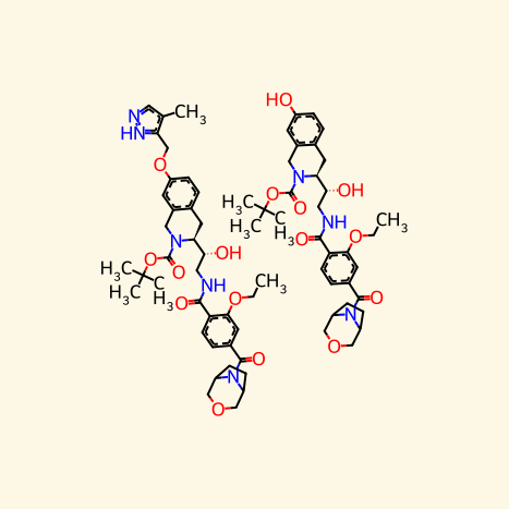 CCOc1cc(C(=O)N2C3CCC2COC3)ccc1C(=O)NC[C@@H](O)[C@@H]1Cc2ccc(O)cc2CN1C(=O)OC(C)(C)C.CCOc1cc(C(=O)N2C3CCC2COC3)ccc1C(=O)NC[C@@H](O)[C@@H]1Cc2ccc(OCc3[nH]ncc3C)cc2CN1C(=O)OC(C)(C)C